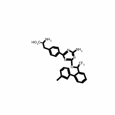 Cc1cccc(-c2ccccc2C(Oc2nc(N)nc(-c3ccc(C[C@H](N)C(=O)O)cc3)n2)C(F)(F)F)c1